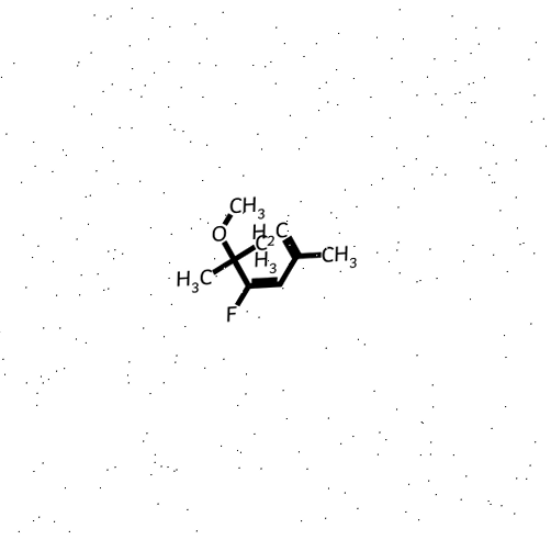 C=C(C)/C=C(/F)C(C)(C)OC